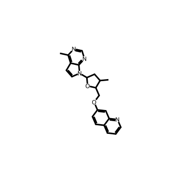 Cc1ncnc2c1ccn2C1CC(C)C(COc2ccc3cccnc3c2)O1